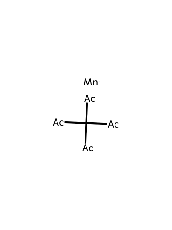 CC(=O)C(C(C)=O)(C(C)=O)C(C)=O.[Mn]